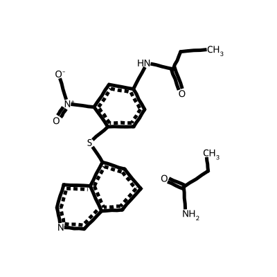 CCC(=O)Nc1ccc(Sc2cccc3cnccc23)c([N+](=O)[O-])c1.CCC(N)=O